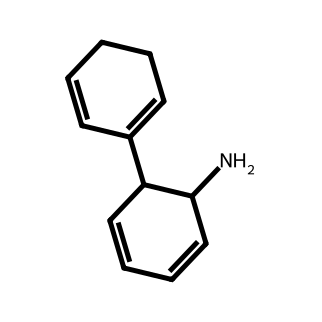 NC1C=CC=CC1C1=CCCC=C1